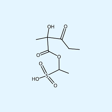 CCC(=O)C(C)(O)C(=O)OC(C)S(=O)(=O)O